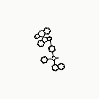 C1=CC2Oc3ccccc3C3(c4ccccc4-c4c(-c5ccc(C6=[N+](c7ccccc7)C(c7cccc8ccccc78)N6)cc5)cccc43)C2C=C1